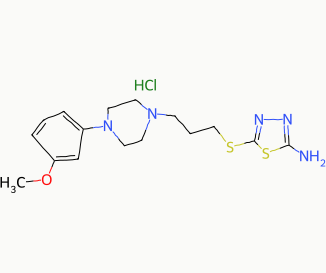 COc1cccc(N2CCN(CCCSc3nnc(N)s3)CC2)c1.Cl